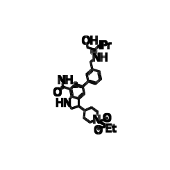 CCS(=O)(=O)N1CCC(C2CNc3c(C(N)=O)cc(-c4cccc(CN[C@@H](CO)C(C)C)c4)cc32)CC1